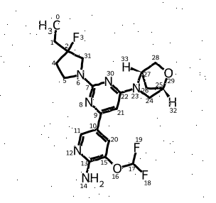 CCC1(F)CCN(c2nc(-c3cnc(N)c(OC(F)F)c3)cc(N3C[C@@H]4C[C@H]3CO4)n2)C1